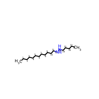 CCCCCCCCCCCCNNCCCCC